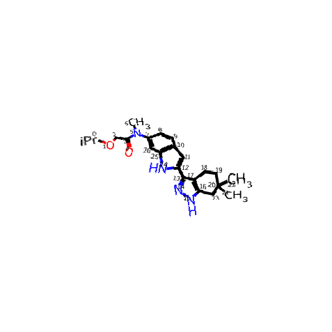 CC(C)OCC(=O)N(C)c1ccc2cc(-c3n[nH]c4c3CCC(C)(C)C4)[nH]c2c1